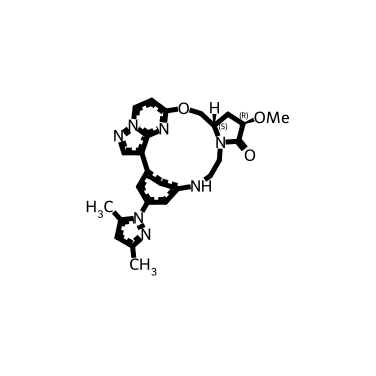 CO[C@@H]1C[C@H]2COc3ccn4ncc(c4n3)-c3cc(cc(-n4nc(C)cc4C)c3)NCCN2C1=O